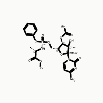 CC(C)OC(=O)[C@H](C)N[P@](=O)(OC[C@H]1O[C@@](C#N)(n2ccc(N)nc2=O)[C@](C)(O)[C@@H]1OC(=O)C(C)C)Oc1ccccc1